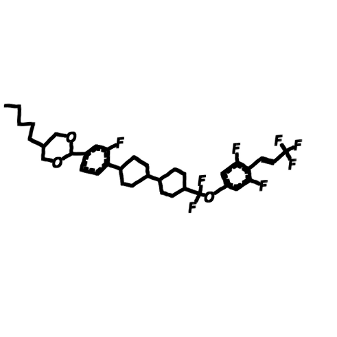 CCCCCC1COC(c2ccc(C3CCC(C4CCC(C(F)(F)Oc5cc(F)c(/C=C/C(F)(F)F)c(F)c5)CC4)CC3)c(F)c2)OC1